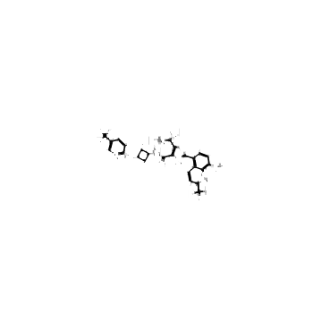 COc1ccc(-c2nc(C(=O)N[C@H]3C[C@@H](Oc4ccc(C(F)(F)F)cn4)C3)c([C@H](C)N)o2)c2ccc(C(F)(F)F)nc12